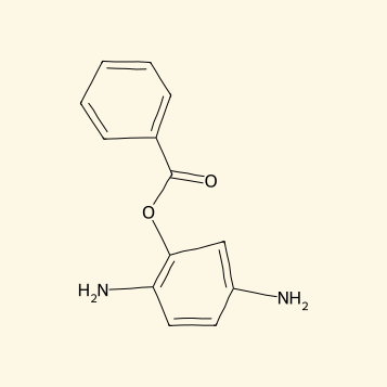 Nc1ccc(N)c(OC(=O)c2ccccc2)c1